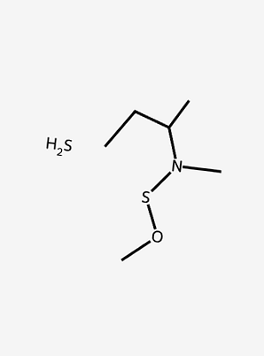 CCC(C)N(C)SOC.S